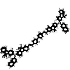 CC1(C)c2ccccc2-c2ccc(N(c3ccc4c(c3)C(C)(C)c3cc(/C=C/c5ccc(-c6ccc(/C=C/c7ccc8c(c7)C(C)(C)c7cc(N(c9ccc%10c(c9)C(C)(C)c9ccccc9-%10)c9ccc%10ccccc%10c9)ccc7-8)cc6)cc5)ccc3-4)c3ccc4ccccc4c3)cc21